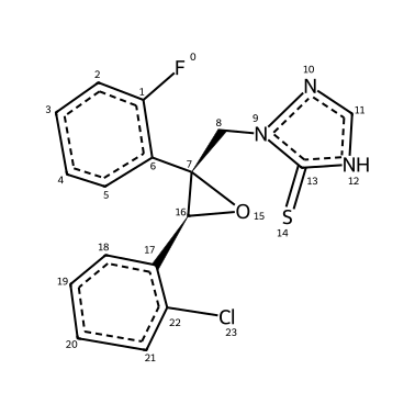 Fc1ccccc1[C@]1(Cn2nc[nH]c2=S)O[C@H]1c1ccccc1Cl